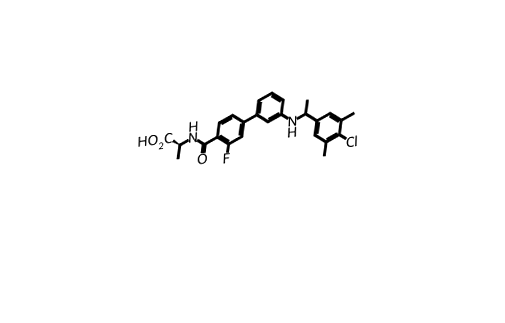 Cc1cc(C(C)Nc2cccc(-c3ccc(C(=O)N[C@@H](C)C(=O)O)c(F)c3)c2)cc(C)c1Cl